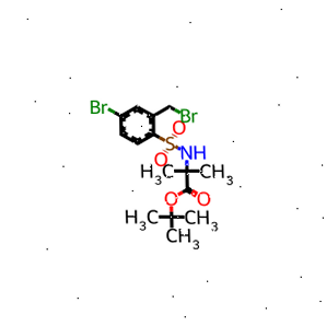 CC(C)(C)OC(=O)C(C)(C)NS(=O)(=O)c1ccc(Br)cc1CBr